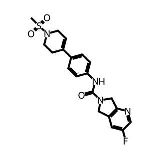 CS(=O)(=O)N1CC=C(c2ccc(NC(=O)N3Cc4cc(F)cnc4C3)cc2)CC1